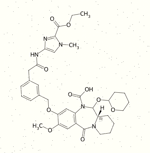 CCOC(=O)c1nc(NC(=O)Cc2cccc(COc3cc4c(cc3OC)C(=O)N3CCCC[C@H]3C(OC3CCCCO3)N4C(=O)O)c2)cn1C